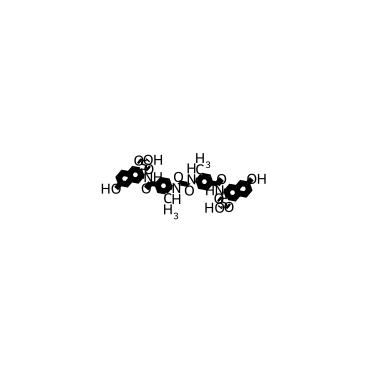 Cc1cc(C(=O)Nc2cc3cc(O)ccc3cc2S(=O)(=O)O)ccc1NC(=O)C(=O)Nc1ccc(C(=O)Nc2cc3cc(O)ccc3cc2S(=O)(=O)O)cc1C